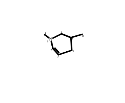 CC1CC=CN(C)C1